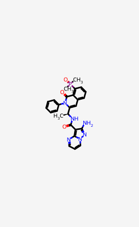 C[C@H](NC(=O)c1c(N)nn2cccnc12)c1cc2cccc(P(C)(C)=O)c2c(=O)n1-c1ccccc1